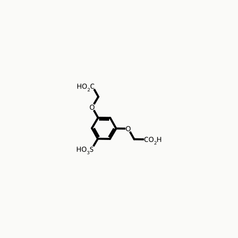 O=C(O)COc1cc(OCC(=O)O)cc(S(=O)(=O)O)c1